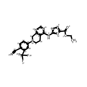 CCOC(=O)c1nnc(Nc2ncnc3c2CCN(c2ccc(C#N)c(C(F)(F)F)c2)C3)o1